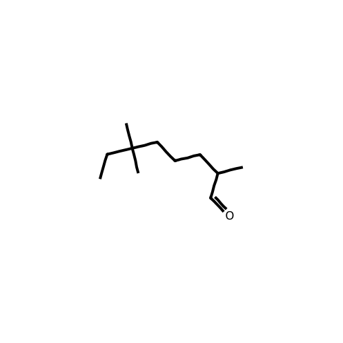 CCC(C)(C)CCCC(C)C=O